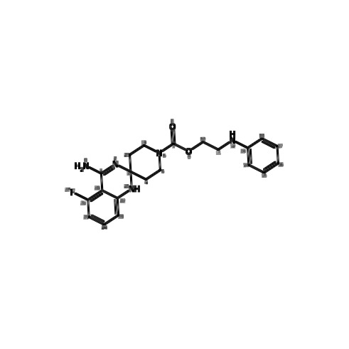 NC1=NC2(CCN(C(=O)OCCNc3ccccc3)CC2)Nc2cccc(F)c21